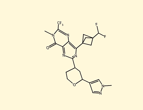 Cn1cc(C2CC(c3nc(C45CC(C(F)F)(C4)C5)c4nc(C(F)(F)F)n(C)c(=O)c4n3)CCO2)cn1